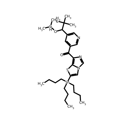 CCC[CH2][Sn]([CH2]CCC)([CH2]CCC)[c]1cn2cnc(C(=O)c3cncc(C(O[SiH](C)C)C(C)(C)C)c3)c2s1